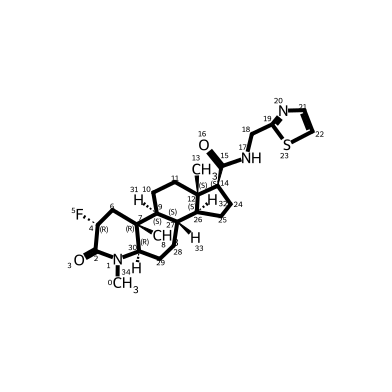 CN1C(=O)[C@H](F)C[C@]2(C)[C@H]3CC[C@]4(C)[C@@H](C(=O)NCc5nccs5)CC[C@H]4[C@@H]3CC[C@@H]12